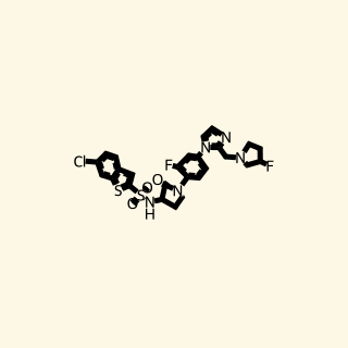 O=C1C(NS(=O)(=O)c2cc3ccc(Cl)cc3s2)CCN1c1ccc(-n2ccnc2CN2CCC(F)C2)cc1F